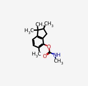 CNC(=O)Oc1c(C)ccc2c1CC(C)C2(C)C